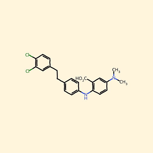 CN(C)c1ccc(Nc2ccc(CCc3ccc(Cl)c(Cl)c3)cc2)c(C(=O)O)c1